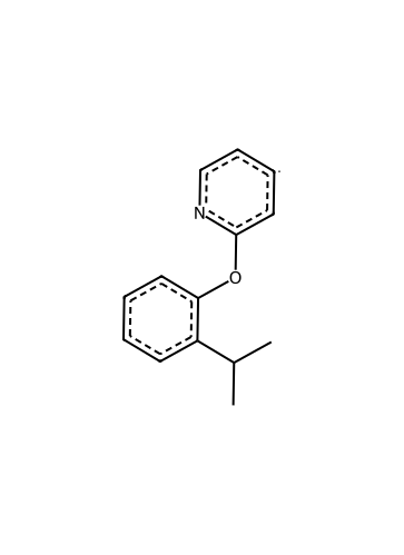 CC(C)c1ccccc1Oc1c[c]ccn1